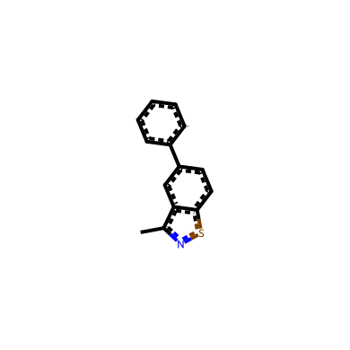 Cc1nsc2ccc(-c3[c]cccc3)cc12